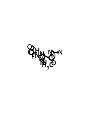 COc1cc(-c2cnc(NCc3c(F)ccc4c3CCO4)n3cnnc23)c2ncc(C#N)n2c1